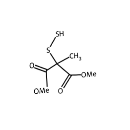 COC(=O)C(C)(SS)C(=O)OC